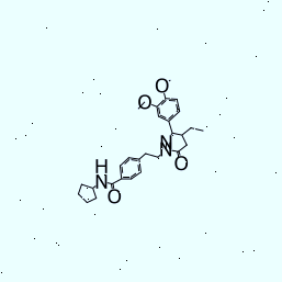 CCC1CC(=O)N(CCc2ccc(C(=O)NC3CCCC3)cc2)N=C1c1ccc(OC)c(OC)c1